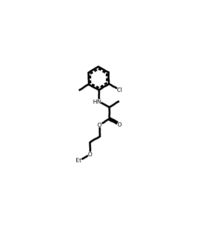 CCOCCOC(=O)C(C)Nc1c(C)cccc1Cl